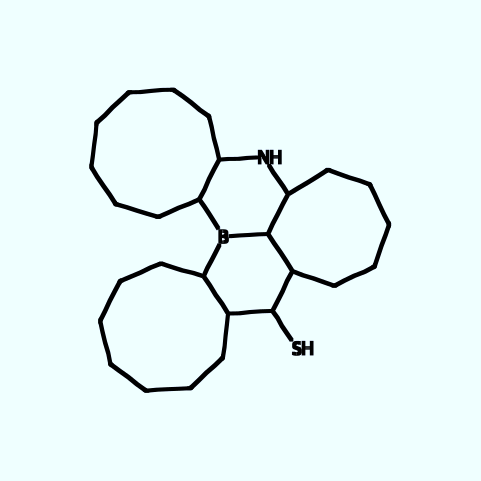 SC1C2CCCCCCCC2B2C3CCCCCCCC3NC3CCCCCC1C23